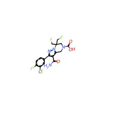 NC(=O)c1c(-c2ccc(F)c(Cl)c2)nn2c1CN(C(=O)O)CC2(CF)CF